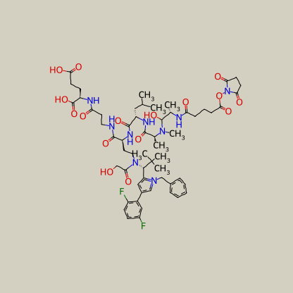 CC(C)C[C@H](NC(=O)[C@H](C)N(C)C(O)[C@H](C)NC(=O)CCCC(=O)ON1C(=O)CCC1=O)C(=O)N[C@@H](CCN(C(=O)CO)[C@@H](c1cc(-c2cc(F)ccc2F)cn1Cc1ccccc1)C(C)(C)C)C(=O)NCCC(=O)N[C@H](CCC(=O)O)C(=O)O